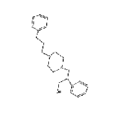 OCC(CN1CCN(CCCc2ccccc2)CC1)c1ccccc1